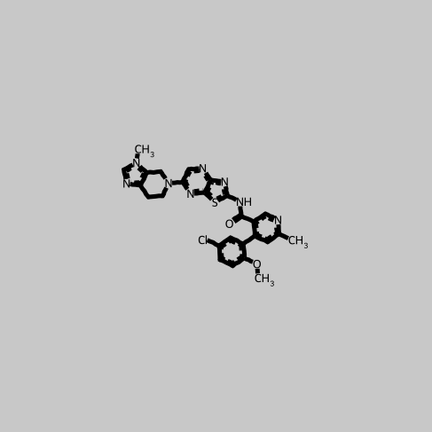 COc1ccc(Cl)cc1-c1cc(C)ncc1C(=O)Nc1nc2ncc(N3CCc4ncn(C)c4C3)nc2s1